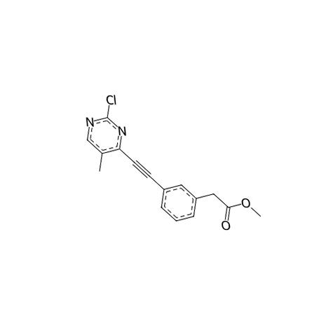 COC(=O)Cc1cccc(C#Cc2nc(Cl)ncc2C)c1